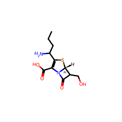 CCCC(N)C1=C(C(=O)O)N2C(=O)C(CO)[C@H]2S1